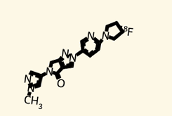 Cn1cc(N2Cc3nn(-c4ccc(N5CC[C@H]([18F])C5)nc4)cc3C2=O)cn1